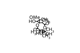 COC1(C)C(O)C12OC(=O)C(C)(C)C1(OC(=O)C2C)C(C)(O)C1(C)O